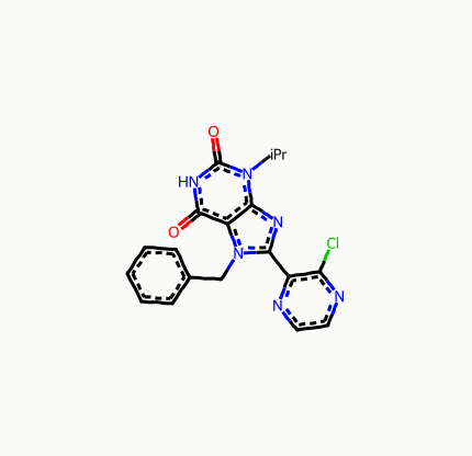 CC(C)n1c(=O)[nH]c(=O)c2c1nc(-c1nccnc1Cl)n2Cc1ccccc1